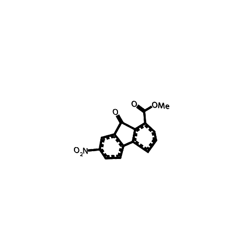 COC(=O)c1cccc2c1C(=O)c1cc([N+](=O)[O-])ccc1-2